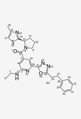 CCNc1cc(C(=O)N2CCC[C@@H]2c2nc(C)cs2)cc(-c2nnc([C@@H](C)Cc3ccccc3)o2)n1